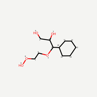 OCC(O)C(OCCOO)C1CCCCC1